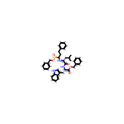 CC(C)C[C@H](NC(CCc1ccccc1)[PH](=O)OCc1ccccc1)C(=O)N[C@@H](Cc1c[nH]c2ccccc12)C(=O)OCc1ccccc1